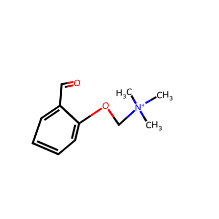 C[N+](C)(C)COc1ccccc1C=O